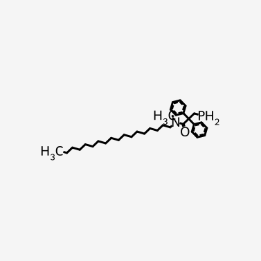 CCCCCCCCCCCCCCCCCCN(C)C(=O)C(CP)(c1ccccc1)c1ccccc1